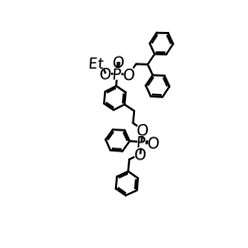 CCOP(=O)(OCC(c1ccccc1)c1ccccc1)c1cccc(CCOP(=O)(OCc2ccccc2)c2ccccc2)c1